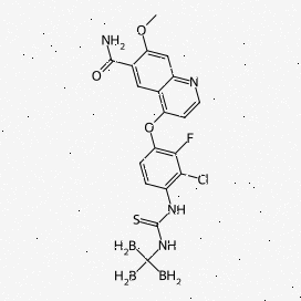 BC(B)(B)NC(=S)Nc1ccc(Oc2ccnc3cc(OC)c(C(N)=O)cc23)c(F)c1Cl